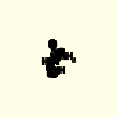 NC(=O)c1cnc(Nc2ccc3c(c2)NCCCO3)nc1NCC1CCCCC1